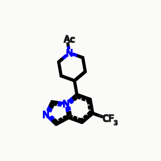 CC(=O)N1CCC(c2cc(C(F)(F)F)cc3cncn23)CC1